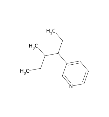 CCC(C)C(CC)c1cccnc1